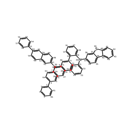 c1ccc(-c2ccc(N(c3cccc(-c4ccccc4N(c4cccc(-c5ccccc5)c4)c4ccc5c(c4)sc4ccccc45)c3)c3ccc4cc(-c5ccccc5)ccc4c3)cc2)cc1